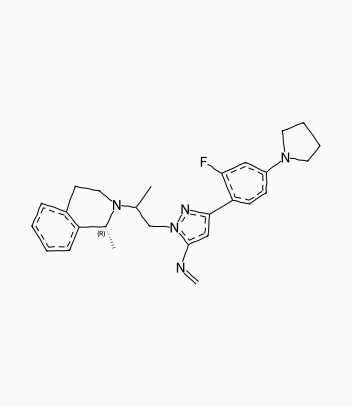 C=Nc1cc(-c2ccc(N3CCCC3)cc2F)nn1CC(C)N1CCc2ccccc2[C@H]1C